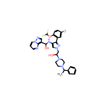 CC(c1ccccc1)N1CCN(C(O)Cn2cc(NC(O)c3cnn4cccnc34)c(-c3cc(Cl)ccc3OC(F)F)n2)CC1